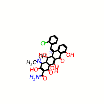 CN(C)C1C(O)=C(C(N)=O)C(=O)C2(O)C(O)=C3C(=O)c4c(O)cccc4/C(=C\c4ccccc4Cl)C3C(O)C12